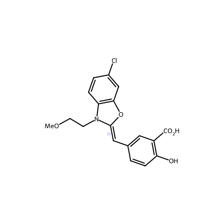 COCCN1/C(=C/c2ccc(O)c(C(=O)O)c2)Oc2cc(Cl)ccc21